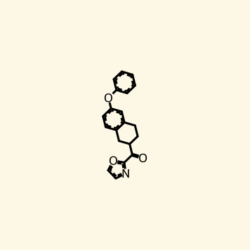 O=C(c1ncco1)C1CCc2cc(Oc3ccccc3)ccc2C1